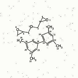 C(OCC1CO1)C1CO1.Cc1cc(C)cc(-c2cc(C)cc(C)c2)c1